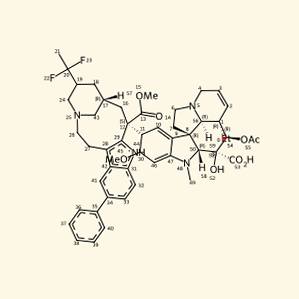 CC[C@]12C=CCN3CC[C@@]4(C5=CC([C@@]6(C(=O)OC)C[C@H]7CC(C(C)(F)F)CN(CCc8c6[nH]c6ccc(-c9ccccc9)cc86)C7)C(OC)C=C5N(C)[C@H]4[C@@](O)(C(=O)O)[C@@H]1OC(C)=O)[C@@H]32